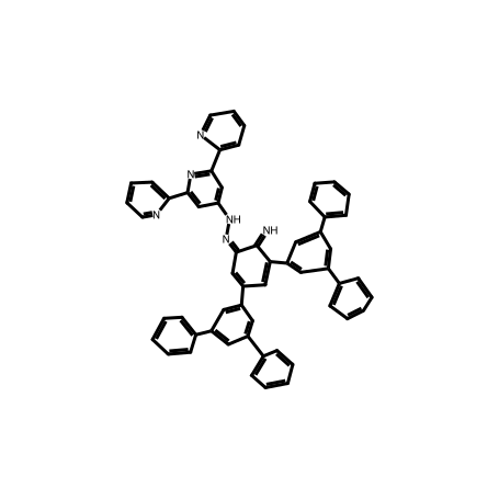 N=C1C(c2cc(-c3ccccc3)cc(-c3ccccc3)c2)=CC(c2cc(-c3ccccc3)cc(-c3ccccc3)c2)=C/C1=N/Nc1cc(-c2ccccn2)nc(-c2ccccn2)c1